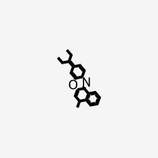 CCC(CC)=C1C=CC2N=C3C(=CC(C)c4ccccc43)OC2=C1